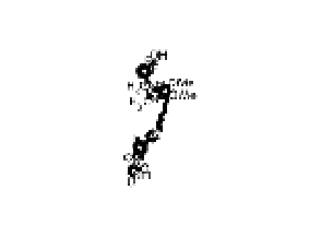 COc1cc2c(N[C@H](C)c3cccc(C(F)(F)CO)c3)nc(C)nc2c(CCCCCCCN2CCC(c3cc4c(cc3F)C(=O)N(C3CCC(=O)NC3=O)C4)CC2)c1OC